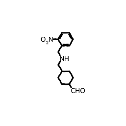 O=CC1CCC(CNCc2ccccc2[N+](=O)[O-])CC1